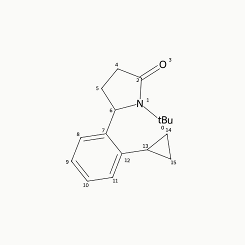 CC(C)(C)N1C(=O)CCC1c1ccccc1C1CC1